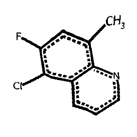 Cc1cc(F)c(Cl)c2cccnc12